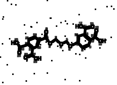 O=C(OCOCOc1ccc(C(=O)O)c(C(=O)O)c1)c1ccc(C(=O)O)c(C(=O)O)c1